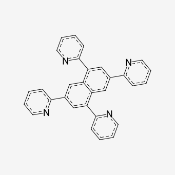 c1ccc(-c2cc(-c3ccccn3)c3cc(-c4ccccn4)cc(-c4ccccn4)c3c2)nc1